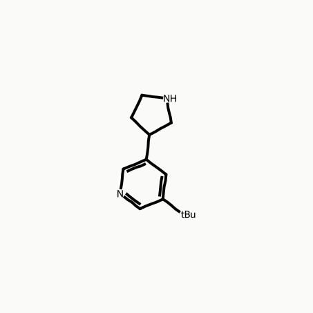 CC(C)(C)c1cncc(C2CCNC2)c1